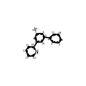 [Ir].c1ccc(-c2cccc(-c3ccccn3)c2)cc1